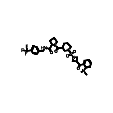 CN(C)c1ccccc1C(=O)C1CN(S(=O)(=O)N2CCCC(C(=O)N3CCCC3C(=O)NCc3ccc(C(F)(F)F)cc3)C2)C1